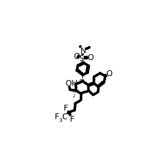 CN(C)S(=O)(=O)c1ccc([C@H]2C[C@](C)(CO)C(CCCC(F)(F)C(F)(F)F)C3CCC4=CC(=O)CCC4=C32)cc1